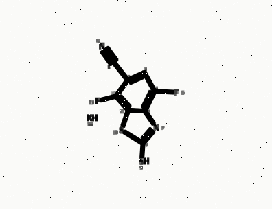 N#Cc1cc(F)c2nc(S)sc2c1F.[KH]